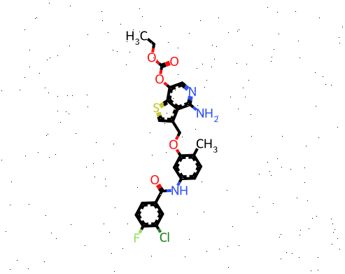 CCOC(=O)Oc1cnc(N)c2c(COc3cc(NC(=O)c4ccc(F)c(Cl)c4)ccc3C)csc12